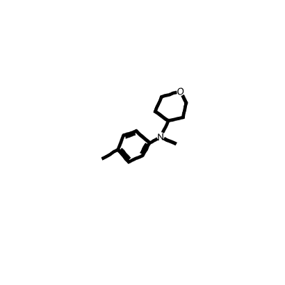 Cc1ccc(N(C)C2CCOCC2)cc1